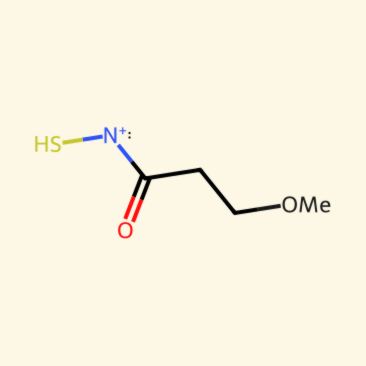 COCCC(=O)[N+]S